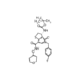 CC(C)(C)OC(=O)N[C@H]1CSc2c(C(=O)NOC3CCOCC3)cn(Cc3ccc(F)cc3)c(=O)c21